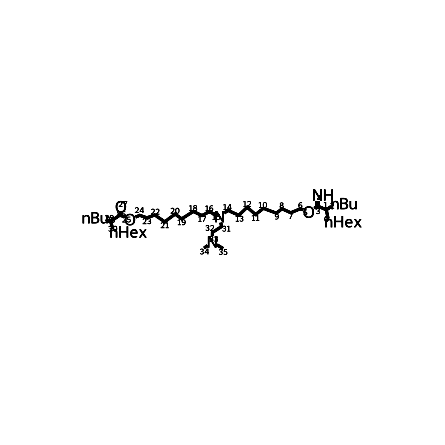 CCCCCCC(CCCC)C(=N)OCCCCCCCCCN(CCCCCCCCCOC(=O)C(CCCC)CCCCCC)CCN(C)C